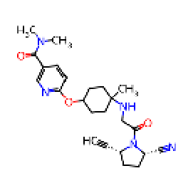 C#C[C@H]1CC[C@@H](C#N)N1C(=O)CNC1(C)CCC(Oc2ccc(C(=O)N(C)C)cn2)CC1